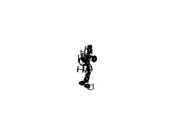 O=C(NS(=O)(=O)c1ccc(N[C@H](CCN2CCC(N3CCCC3)C(F)C2)CSc2ccccc2)c([SH](=O)=O)c1)c1ccc(N2CCN(Cc3ccccc3-c3ccc(Cl)cc3)CC2)cc1